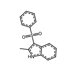 Cc1[nH]c2ccccc2c1S(=O)(=O)c1ccccc1